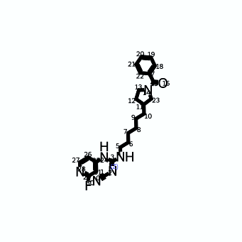 N#C/N=C(/NCCCCCCC1CCN(C(=O)c2ccccc2)C1)Nc1ccnc(F)c1